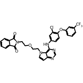 O=C1c2ccccc2C(=O)N1CCOCCn1ccc2ncnc(Nc3ccc(Oc4cccc(C(F)(F)F)c4)c(Cl)c3)c21